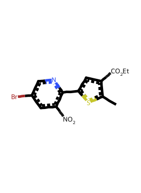 CCOC(=O)c1cc(-c2ncc(Br)cc2[N+](=O)[O-])sc1C